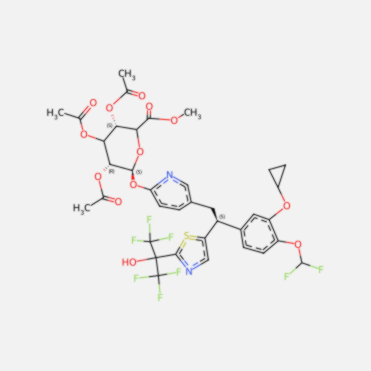 COC(=O)C1O[C@@H](Oc2ccc(C[C@@H](c3ccc(OC(F)F)c(OC4CC4)c3)c3cnc(C(O)(C(F)(F)F)C(F)(F)F)s3)cn2)[C@H](OC(C)=O)C(OC(C)=O)[C@@H]1OC(C)=O